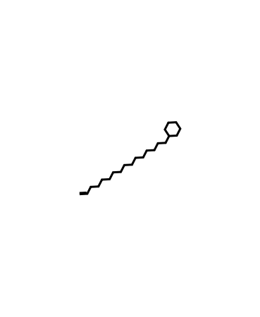 C=CCCCCCCCCCCCCCCC1CCCCC1